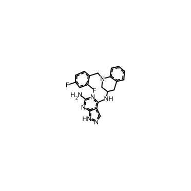 Nc1nc(NC2Cc3ccccc3N(Cc3ccc(F)cc3F)C2)c2cn[nH]c2n1